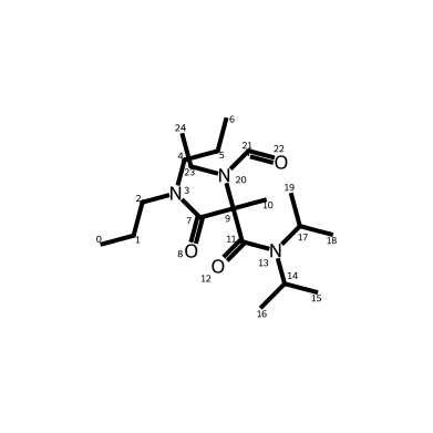 CCCN(CCC)C(=O)C(C)(C(=O)N(C(C)C)C(C)C)N([C]=O)CC